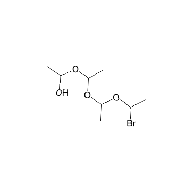 CC(O)OC(C)OC(C)OC(C)Br